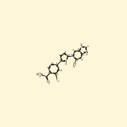 NC(=O)c1ccc(-c2ccc(-c3cc4scnc4cc3Cl)s2)cc1F